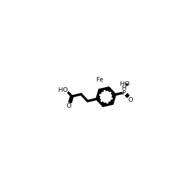 O=C(O)CCc1ccc([PH](=O)O)cc1.[Fe]